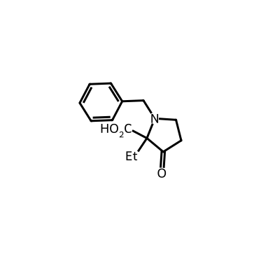 CCC1(C(=O)O)C(=O)CCN1Cc1ccccc1